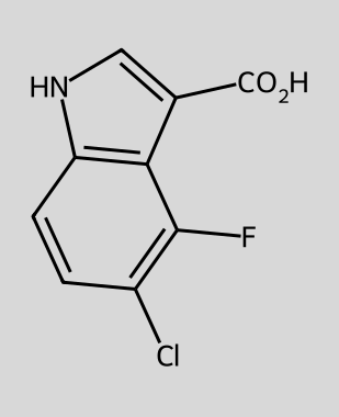 O=C(O)c1c[nH]c2ccc(Cl)c(F)c12